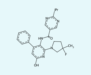 CC(C)c1ncc(C(=O)Nc2c(-c3ccccc3)cc(O)nc2N2CCC(C)(F)C2)cn1